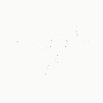 CCCCc1ccc(C(N)=O)cc1N(C)NC